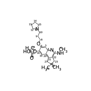 CNc1nc2cc(OCCCN3CCCC3)c(OC)cc2c2c1CC(C)(C)C2.O=CO